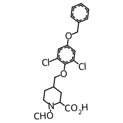 O=CN1CCC(COc2c(Cl)cc(OCc3ccccc3)cc2Cl)CC1C(=O)O